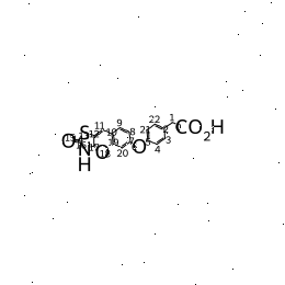 O=C(O)Cc1ccc(Oc2ccc(/C=C3/SC(=O)NC3=O)cc2)cc1